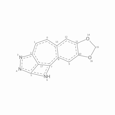 c1cc2nnc3[nH]c(c4cc5c(cc14)OCO5)c23